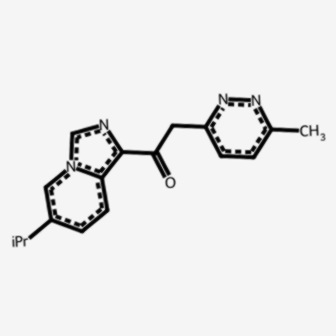 Cc1ccc(CC(=O)c2ncn3cc(C(C)C)ccc23)nn1